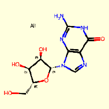 Nc1nc2c(ncn2[C@@H]2O[C@H](CO)[C@@H](O)[C@H]2O)c(=O)[nH]1.[Al]